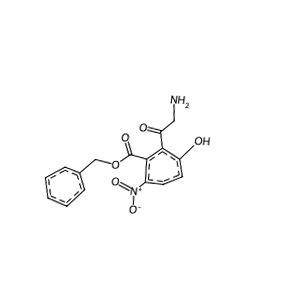 NCC(=O)c1c(O)ccc([N+](=O)[O-])c1C(=O)OCc1ccccc1